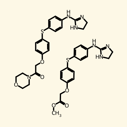 COC(=O)COc1ccc(Sc2ccc(NC3=NCCN3)cc2)cc1.O=C(COc1ccc(Sc2ccc(NC3=NCCN3)cc2)cc1)N1CCOCC1